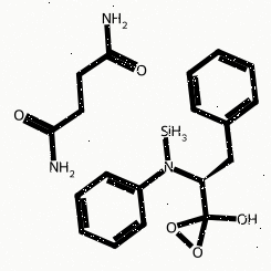 NC(=O)CCC(N)=O.OC1([C@H](Cc2ccccc2)N([SiH3])c2ccccc2)OO1